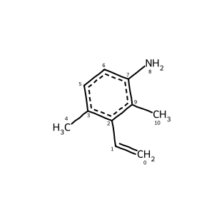 C=Cc1c(C)ccc(N)c1C